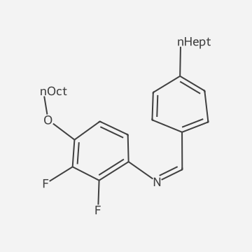 CCCCCCCCOc1ccc(/N=C\c2ccc(CCCCCCC)cc2)c(F)c1F